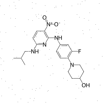 CC(C)CNc1ccc([N+](=O)[O-])c(Nc2ccc(N3CCC(O)CC3)c(F)c2)n1